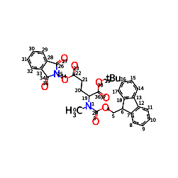 CN(C(=O)OCC1c2ccccc2-c2ccccc21)C(CCC(=O)ON1C(=O)c2ccccc2C1=O)C(=O)OC(C)(C)C